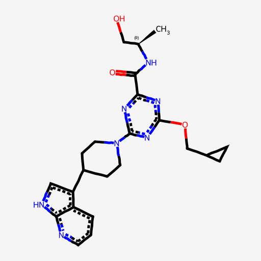 C[C@H](CO)NC(=O)c1nc(OCC2CC2)nc(N2CCC(c3c[nH]c4ncccc34)CC2)n1